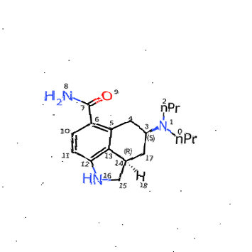 CCCN(CCC)[C@@H]1Cc2c(C(N)=O)ccc3c2[C@H](CN3)C1